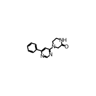 O=C1CN(c2cc(-c3ccccc3)ncn2)CCN1